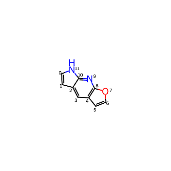 c1cc2cc3ccoc3nc2[nH]1